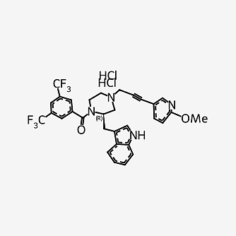 COc1ccc(C#CCN2CCN(C(=O)c3cc(C(F)(F)F)cc(C(F)(F)F)c3)[C@H](Cc3c[nH]c4ccccc34)C2)cn1.Cl.Cl